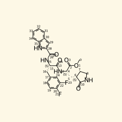 COC(=O)[C@H](C[C@@H]1CCNC1=O)NC(=O)[C@H](Cc1ccc(F)c(F)c1)NC(=O)c1cc2ccccc2[nH]1